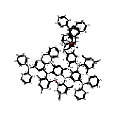 Cc1cc(C)c(N2c3cc4c(cc3B3c5ccccc5Oc5cc(N(c6ccccc6)c6ccccc6)cc2c53)B2c3cc5c(cc3N(c3c(C)cc(C)cc3C)c3cc(N(c6ccccc6)c6ccccc6)cc(c32)N4c2c(C)cc(C)cc2C)Nc2cc(N(c3ccccc3)c3ccccc3)cc3c2B5c2cccc4c5ccccc5n-3c24)c(C)c1